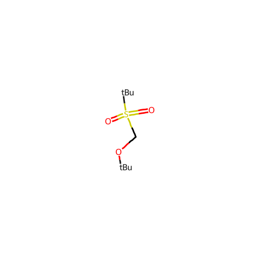 CC(C)(C)OCS(=O)(=O)C(C)(C)C